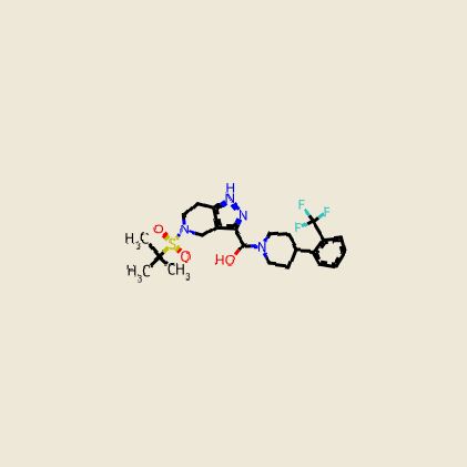 CC(C)(C)S(=O)(=O)N1CCc2[nH]nc(C(O)N3CCC(c4ccccc4C(F)(F)F)CC3)c2C1